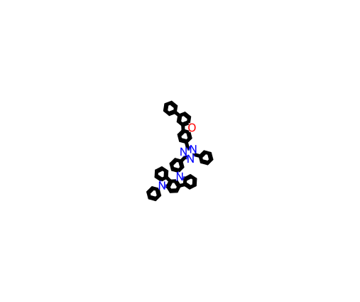 c1ccc(-c2ccc3oc4cc(-c5nc(-c6ccccc6)nc(-c6cccc(-n7c8ccccc8c8ccc9c(c%10ccccc%10n9-c9ccccc9)c87)c6)n5)ccc4c3c2)cc1